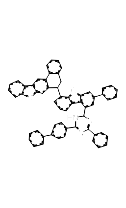 c1ccc(C2=NC(c3cc(-c4ccccc4)cc4oc5c(C6Cc7ccccc7-c7cc8c(cc76)sc6ccccc68)cccc5c34)NC(c3ccc(-c4ccccc4)cc3)=N2)cc1